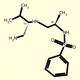 CC(C)[C@@H](CN)NC[C@@H](C)NS(=O)(=O)c1ccccc1